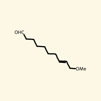 COCC=CCCCCCCC=O